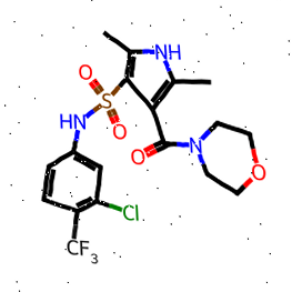 Cc1[nH]c(C)c(S(=O)(=O)Nc2ccc(C(F)(F)F)c(Cl)c2)c1C(=O)N1CCOCC1